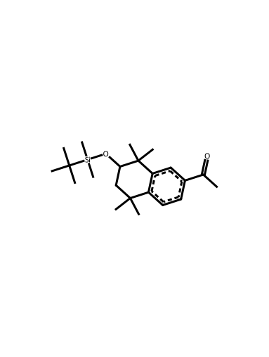 CC(=O)c1ccc2c(c1)C(C)(C)C(O[Si](C)(C)C(C)(C)C)CC2(C)C